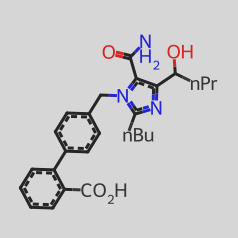 CCCCc1nc(C(O)CCC)c(C(N)=O)n1Cc1ccc(-c2ccccc2C(=O)O)cc1